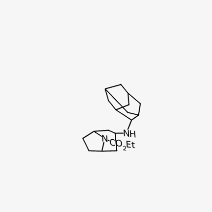 CCOC(=O)N1C2CCC1CC(NC1C3CC4CC(C3)CC1C4)C2